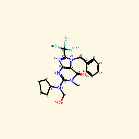 Cn1c(N(CO)C2CCCC2)nc2nc(C(F)(F)F)n(Cc3ccccc3)c2c1=O